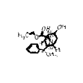 CCOC(=O)[C@@H]1[C@@H]2CC[C@@H](CC2O)N1[C@H](C)c1ccccc1